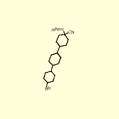 CCCCCC1(C#N)CCC(C2CCC(C3CCC(CCC)CC3)CC2)CC1